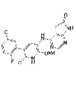 COc1[nH]c(=O)c(-c2cc(Cl)ccc2F)cc1Nc1ncnc2c1CC(=O)N2